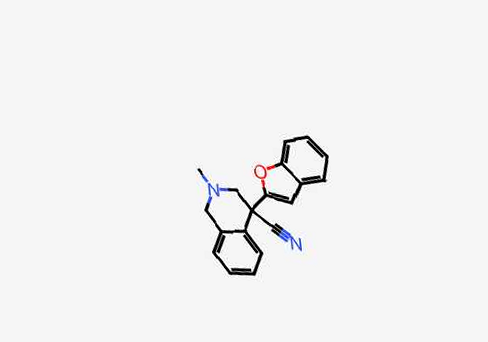 CN1Cc2ccccc2C(C#N)(c2cc3ccccc3o2)C1